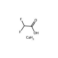 O=C(O)C(F)F.[CaH2]